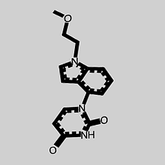 COCCn1ccc2c(-n3ccc(=O)[nH]c3=O)cccc21